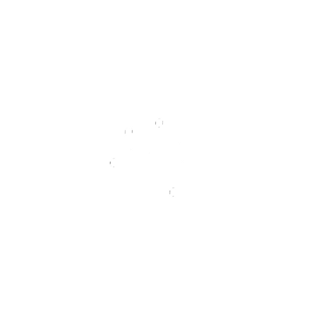 COc1c(C(=O)Cl)cc(Cl)c2ccccc12